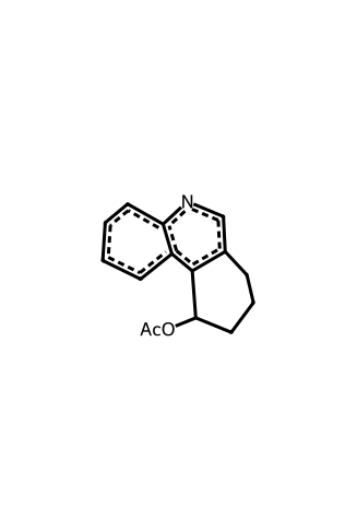 CC(=O)OC1CCCc2cnc3ccccc3c21